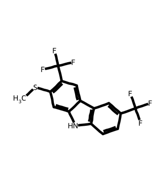 CSc1cc2[nH]c3ccc(C(F)(F)F)cc3c2cc1C(F)(F)F